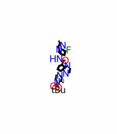 Cc1cn2cc(NC(=O)c3ccc(N4CCN(C(=O)OC(C)(C)C)[C@H](C)C4)c4nccnc34)cc(F)c2n1